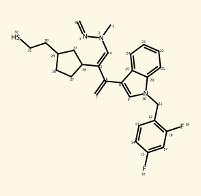 C=NN(C)/C=C(/C(=C)c1cn(Cc2ccc(F)cc2F)c2ccccc12)C1CCC(CCS)C1